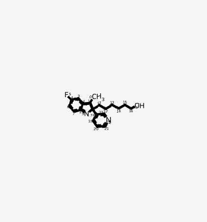 CC1=c2cc(F)ccc2=NC1(CCCCCCO)c1cccnc1